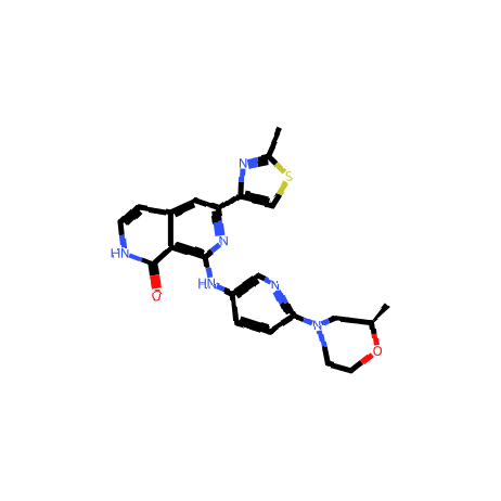 Cc1nc(-c2cc3cc[nH]c(=O)c3c(Nc3ccc(N4CCO[C@H](C)C4)nc3)n2)cs1